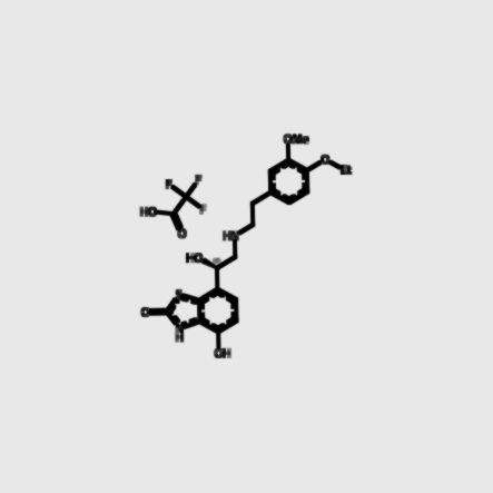 CCOc1ccc(CCNC[C@H](O)c2ccc(O)c3[nH]c(=O)sc23)cc1OC.O=C(O)C(F)(F)F